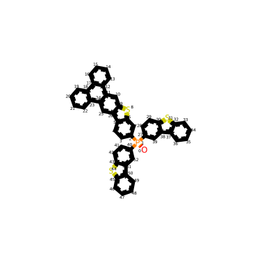 O=P(c1ccc2c(c1)sc1cc3c4ccccc4c4ccccc4c3cc12)(c1ccc2sc3ccccc3c2c1)c1ccc2sc3ccccc3c2c1